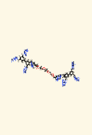 [N-]=[N+]=NCc1cc(CN=[N+]=[N-])cc(-c2cc(CN=[N+]=[N-])cc(Cn3cc(COCCOCCOCCOCc4cn(Cc5cc(CN=[N+]=[N-])cc(-c6cc(CN=[N+]=[N-])cc(CN=[N+]=[N-])c6)c5)nn4)nn3)c2)c1